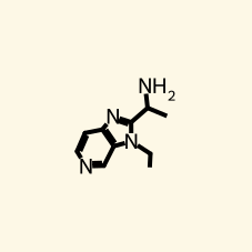 CCn1c(C(C)N)nc2ccncc21